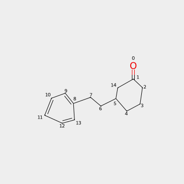 O=C1CCCC(CCc2ccccc2)C1